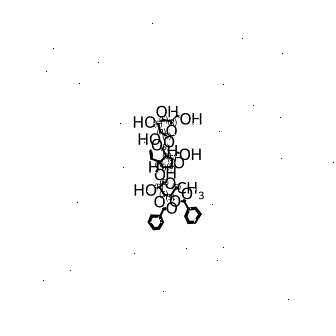 C[C@@H]1O[C@@H](O[C@H]2[C@@H]3C=CO[C@@H](O[C@@H]4O[C@H](CO)[C@@H](O)[C@H](O)[C@H]4O)[C@@H]3[C@@]3(CO)O[C@@H]23)[C@H](O)[C@H](OC(=O)c2ccccc2)[C@H]1OC(=O)c1ccccc1